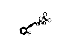 O=c1on(OCC#Cc2ccccc2F)oc1=O